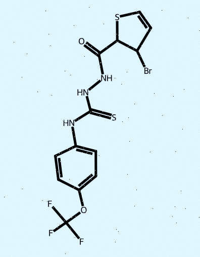 O=C(NNC(=S)Nc1ccc(OC(F)(F)F)cc1)C1SC=CC1Br